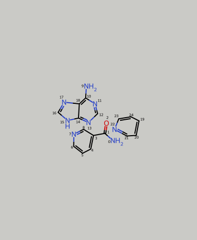 NC(=O)c1cccnc1.Nc1ncnc2[nH]cnc12.c1ccncc1